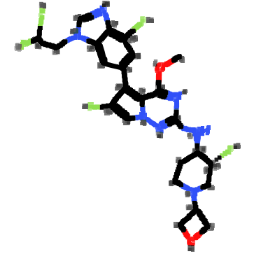 COc1nc(N[C@@H]2CCN(C3COC3)C[C@H]2F)nn2cc(F)c(-c3cc(F)c4ncn(CC(F)F)c4c3)c12